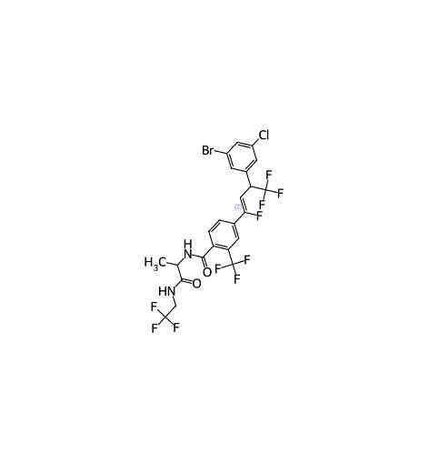 CC(NC(=O)c1ccc(/C(F)=C/C(c2cc(Cl)cc(Br)c2)C(F)(F)F)cc1C(F)(F)F)C(=O)NCC(F)(F)F